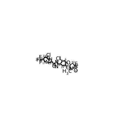 CN1C[C@@H](Oc2cc(Cl)c(-c3noc(-c4cn5cc(C(F)(F)F)cc(Cl)c5n4)n3)cc2Cl)CC(F)(F)C1=O